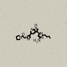 CCCCc1nc(N)cc(-c2c[nH]c3ncc(-c4cnn(CC(=O)N5CCCC5)c4)cc23)n1